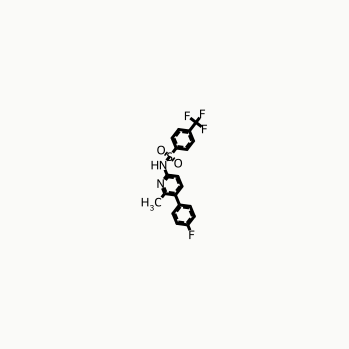 Cc1nc(NS(=O)(=O)c2ccc(C(F)(F)F)cc2)ccc1-c1ccc(F)cc1